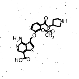 CS(=O)(=O)N(C(=O)c1cccc(OCc2csc3c(C(=O)O)cnc(N)c23)c1)C1CCNCC1